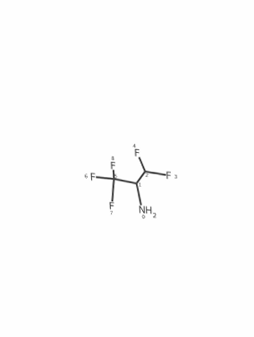 NC(C(F)F)C(F)(F)F